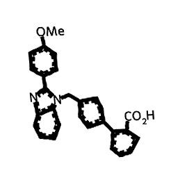 COc1ccc(-c2nc3ccccc3n2Cc2ccc(-c3ccccc3C(=O)O)cc2)cc1